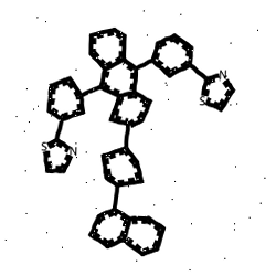 c1cc(-c2nccs2)cc(-c2c3ccccc3c(-c3cccc(-c4nccs4)c3)c3cc(-c4ccc(-c5cccc6ccccc56)cc4)ccc23)c1